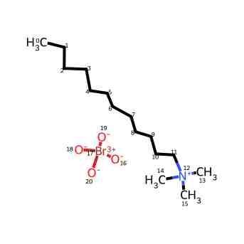 CCCCCCCCCCCC[N+](C)(C)C.[O-][Br+3]([O-])([O-])[O-]